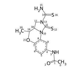 CC(=O)Nc1ccc2c(c1)N1C(=S)N(C(N)=S)CC1C(C)O2